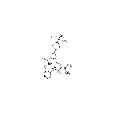 COc1ccccc1CNC(=O)c1nc(-c2ccc(C(C)(C)C)cc2)oc1-c1cccc(N(C)C)c1